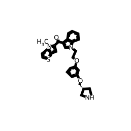 Cn1c(C(=O)c2cn(CCOc3cccc(OC[C@@H]4CCNC4)c3)c3ccccc23)cc2sccc21